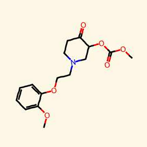 COC(=O)OC1CN(CCOc2ccccc2OC)CCC1=O